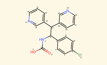 O=C(O)NC(c1ccc(Cl)cc1)C(c1cccnc1)c1cccnc1